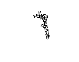 O=C(Nc1ccc(F)cc1)C1(C(=O)Nc2ccc(Oc3ccnc4cc(N5CCC(N6CCOCC6)CC5)ncc34)cc2F)CC1